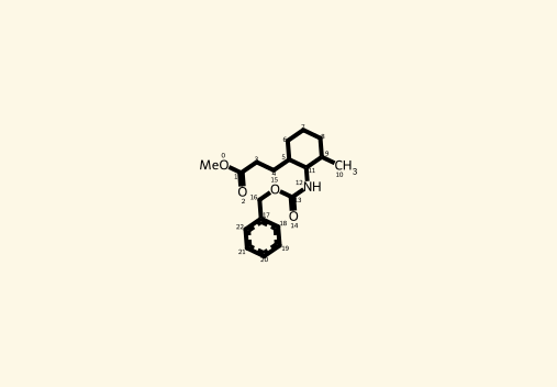 COC(=O)CCC1CCCC(C)C1NC(=O)OCc1ccccc1